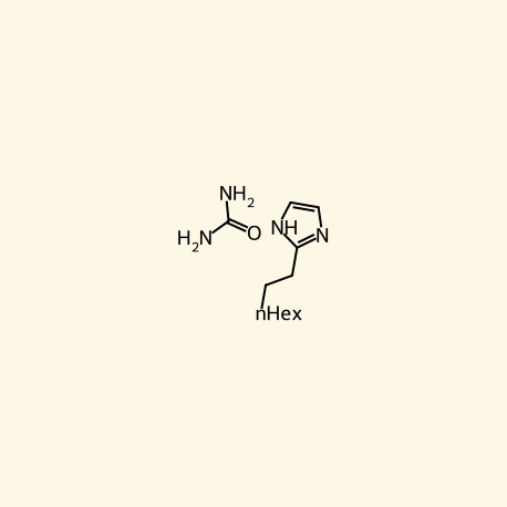 CCCCCCCCc1ncc[nH]1.NC(N)=O